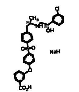 C[C@H](Cc1ccc(S(=O)(=O)c2ccc(Oc3cccc(C(=O)O)c3)cc2)cc1)NC[C@@H](O)c1cccc(Cl)c1.[NaH]